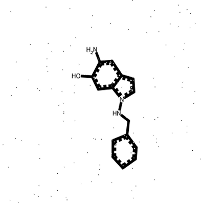 Nc1cc2ccn(NCc3ccccc3)c2cc1O